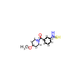 COC1CCN(C(=O)c2cccc(NS)c2)CC1